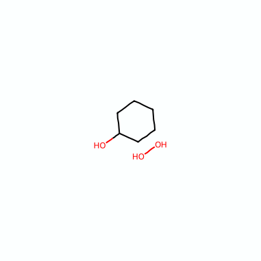 OC1CCCCC1.OO